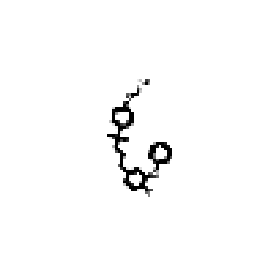 COCSc1ccc(C(C)(C)CCCc2ccc(F)c(Oc3ccccc3)c2)cc1